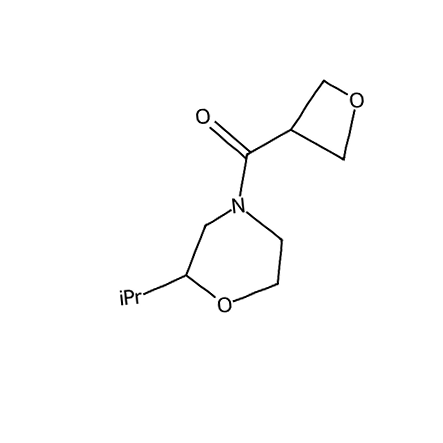 CC(C)C1CN(C(=O)C2COC2)CCO1